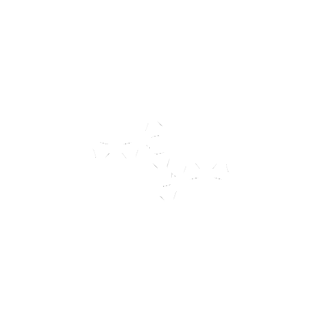 c1ccc(N(c2ccc(N(c3ccccc3)c3ccc4c(c3)sc3ccccc34)cc2)c2ccc3c(c2)sc2ccccc23)cc1